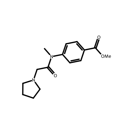 COC(=O)c1ccc(N(C)C(=O)CN2CCCC2)cc1